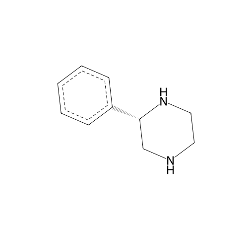 c1ccc([C@H]2CNCCN2)cc1